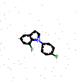 Fc1ccc(-n2ccc3c[c]cc(F)c32)cc1